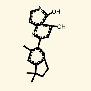 Cc1cc2c(cc1-c1cc(O)c3c(O)nccc3n1)CCC2(C)C